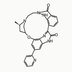 C[C@@H]1CC2CN1CCn1[nH]c3c(cccc3c1=O)-c1nc3c(cc(-c4ccccn4)cc3[nH]c1=O)O2